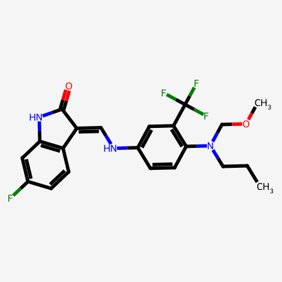 CCCN(COC)c1ccc(N/C=C2/C(=O)Nc3cc(F)ccc32)cc1C(F)(F)F